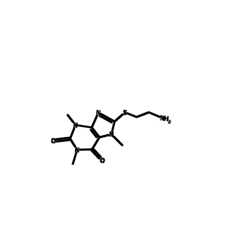 Cn1c(=O)c2c(nc(SCCN)n2C)n(C)c1=O